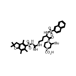 Cc1c(C)c(S(=O)(=O)NC(=N)NCCCC(NS(=O)(=O)c2ccc3ccccc3c2)C(=O)N2CCN(C(=O)O)CC2C(C)(C)C)c(C)c2c1OC(C)(C)C2